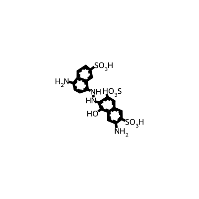 Nc1cc2c(O)c(NNc3ccc(N)c4ccc(S(=O)(=O)O)cc34)c(S(=O)(=O)O)cc2cc1S(=O)(=O)O